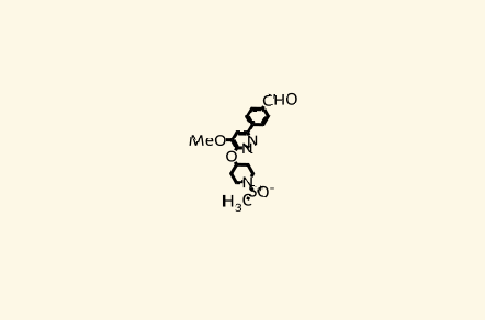 COc1cc(-c2ccc(C=O)cc2)nnc1OC1CCN([S+](C)[O-])CC1